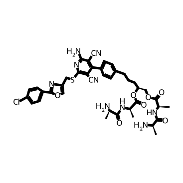 C[C@@H](N)C(=O)N[C@H](C)C(=O)OC[C@H](CCCc1ccc(-c2c(C#N)c(N)nc(SCc3coc(-c4ccc(Cl)cc4)n3)c2C#N)cc1)OC(=O)[C@@H](C)NC(=O)[C@@H](C)N